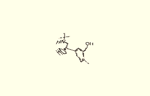 Cc1ccc([C@@H](O)CNC(C)(C)C)cc1CO